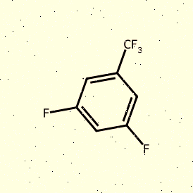 Fc1[c]c(C(F)(F)F)cc(F)c1